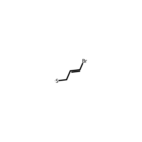 [S]CC=CBr